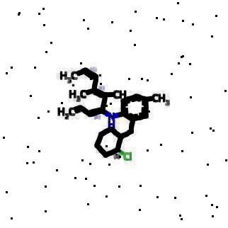 C=C\C=C(Nc1ccc(C)cc1CC1CCCC[C@@H]1Cl)/C(C)=C(C)/C=C\C